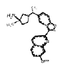 COc1ccc2ccc(-c3nnc4ccc([C@@H](C)N5CC[C@](C)(N)C5)cn34)nc2c1